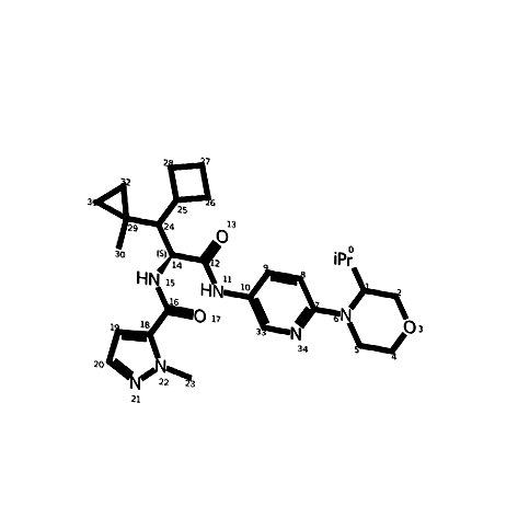 CC(C)C1COCCN1c1ccc(NC(=O)[C@@H](NC(=O)c2ccnn2C)C(C2CCC2)C2(C)CC2)cn1